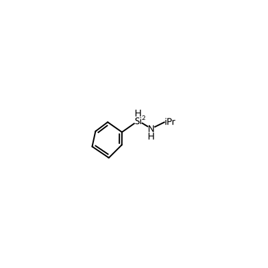 CC(C)N[SiH2]c1ccccc1